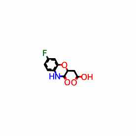 O=C(O)CC1Oc2cc(F)ccc2NC1=O